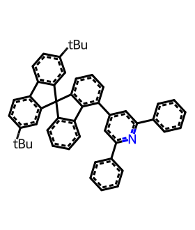 CC(C)(C)c1ccc2c(c1)C1(c3cc(C(C)(C)C)ccc3-2)c2ccccc2-c2c(-c3cc(-c4ccccc4)nc(-c4ccccc4)c3)cccc21